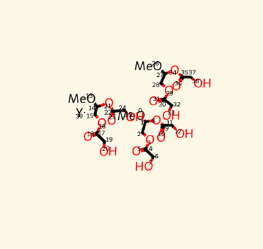 COC(COC(=O)CO)OC(=O)CO.COC(COC(=O)CO)OC(=O)CO.COC(COC(=O)CO)OC(=O)CO.[Y]